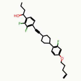 C=CCCCOc1ccc(C2CCC(C#Cc3ccc(C(O)CCC)c(F)c3F)CC2)c(F)c1